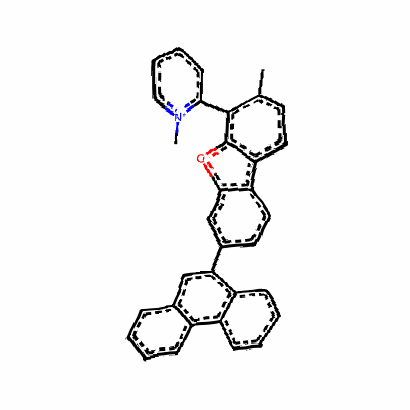 Cc1ccc2c(oc3cc(-c4cc5ccccc5c5ccccc45)ccc32)c1-c1cccc[n+]1C